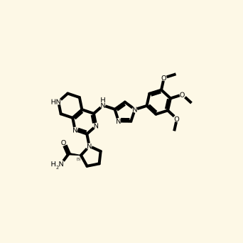 COc1cc(-n2cnc(Nc3nc(N4CCC[C@H]4C(N)=O)nc4c3CCNC4)c2)cc(OC)c1OC